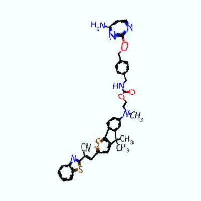 CN(CCOC(=O)NCc1ccc(COc2nccc(N)n2)cc1)c1ccc2c(c1)C(C)(C)c1cc(/C=C(\C#N)c3nc4ccccc4s3)sc1-2